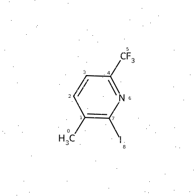 Cc1ccc(C(F)(F)F)nc1I